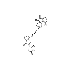 O=C1CCC(N2Cc3c(CCCCCN4CCC5(CC4)C(=O)Nc4cccc(Cl)c45)cccc3C2=O)C(=O)N1